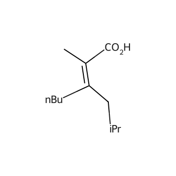 CCCC/C(CC(C)C)=C(\C)C(=O)O